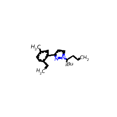 C=CCC(C(C)CC)n1ccc(-c2cc(C)ccc2C=C)n1